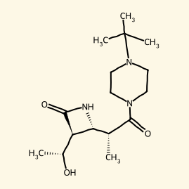 C[C@@H](O)[C@H]1C(=O)N[C@@H]1[C@@H](C)C(=O)N1CCN(C(C)(C)C)CC1